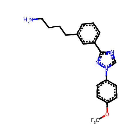 NCCCCc1cccc(-c2ncn(-c3ccc(OC(F)(F)F)cc3)n2)c1